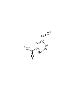 O=Cc1ccnc([N+](=O)[O-])c1